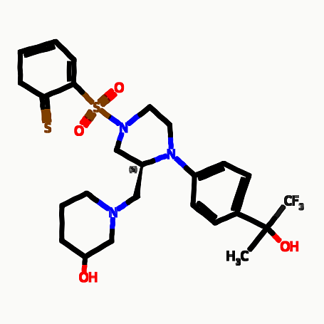 CC(O)(c1ccc(N2CCN(S(=O)(=O)C3=CC=CCC3=S)C[C@@H]2CN2CCCC(O)C2)cc1)C(F)(F)F